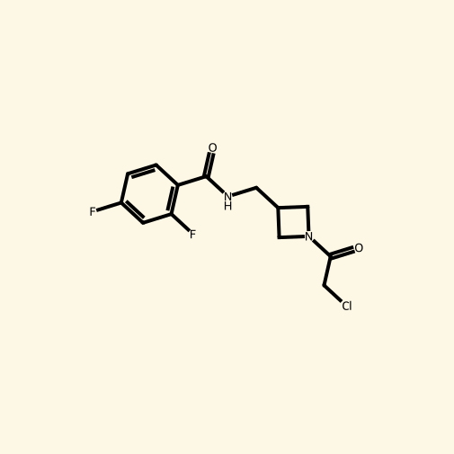 O=C(NCC1CN(C(=O)CCl)C1)c1ccc(F)cc1F